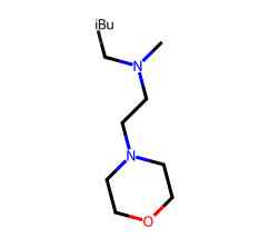 CCC(C)CN(C)CCN1CCOCC1